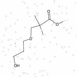 COC(=O)C(C)(C)COCCCO